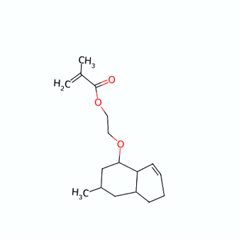 C=C(C)C(=O)OCCOC1CC(C)CC2CCC=CC21